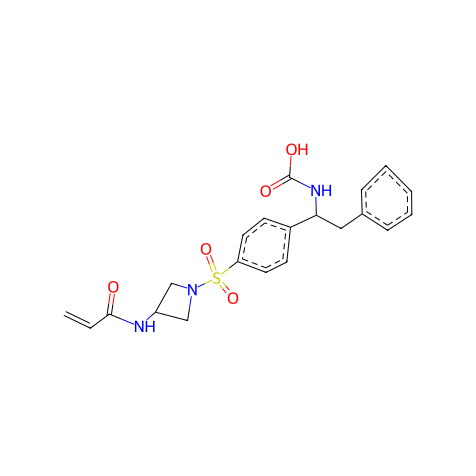 C=CC(=O)NC1CN(S(=O)(=O)c2ccc(C(Cc3ccccc3)NC(=O)O)cc2)C1